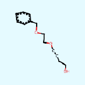 OCCCCOCCOCc1ccccc1